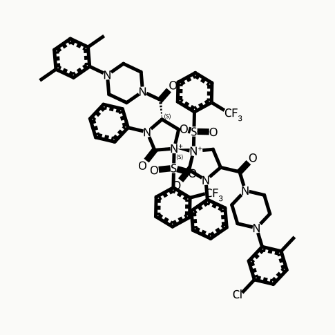 Cc1ccc(C)c(N2CCN(C(=O)[C@@H]3C[N@+]([N+]4(S(=O)(=O)c5ccccc5C(F)(F)F)CC(C(=O)N5CCN(c6cc(Cl)ccc6C)CC5)N(c5ccccc5)C4=O)(S(=O)(=O)c4ccccc4C(F)(F)F)C(=O)N3c3ccccc3)CC2)c1